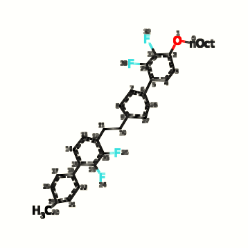 CCCCCCCCOc1ccc(-c2ccc(CCc3ccc(-c4ccc(C)cc4)c(F)c3F)cc2)c(F)c1F